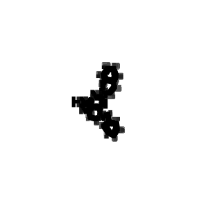 c1ccc(CN2CCc3n[nH]c4nc(N5CCc6ccccc6C5)nc2c34)cc1